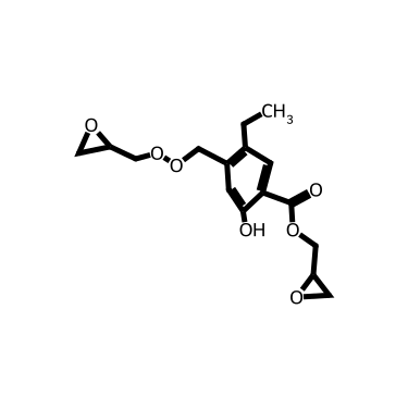 CCc1cc(C(=O)OCC2CO2)c(O)cc1COOCC1CO1